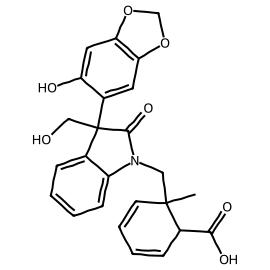 CC1(CN2C(=O)C(CO)(c3cc4c(cc3O)OCO4)c3ccccc32)C=CC=CC1C(=O)O